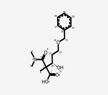 CN(C)C(=O)C(C)(C(=O)O)[C@@H](O)CCOCc1ccccc1